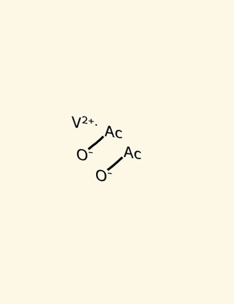 CC(=O)[O-].CC(=O)[O-].[V+2]